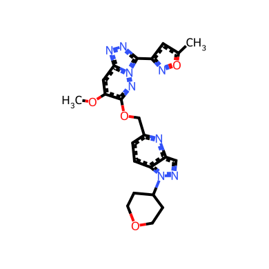 COc1cc2nnc(-c3cc(C)on3)n2nc1OCc1ccc2c(cnn2C2CCOCC2)n1